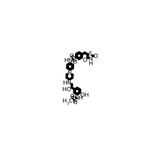 CS(=O)(=O)Nc1cc(C(O)CNC2CCN(c3ccc(NS(=O)(=O)c4ccc(CC5SC(=O)NC5=O)cc4)cc3)CC2)ccc1O